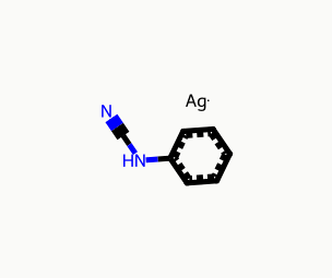 N#CNc1ccccc1.[Ag]